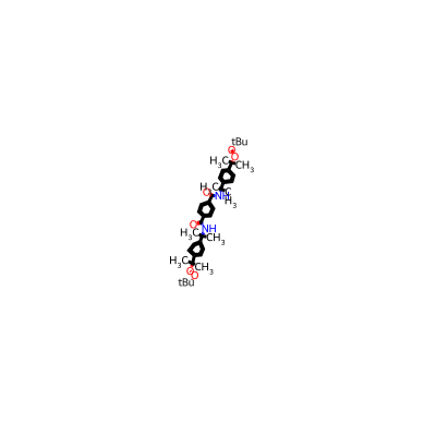 CC(C)(C)OOC(C)(C)c1ccc(C(C)(C)NC(=O)c2ccc(C(=O)NC(C)(C)c3ccc(C(C)(C)OOC(C)(C)C)cc3)cc2)cc1